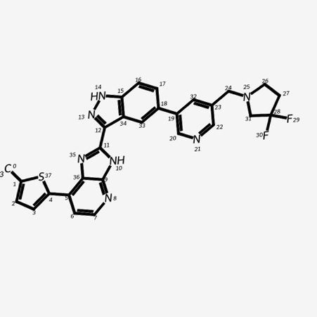 Cc1ccc(-c2ccnc3[nH]c(-c4n[nH]c5ccc(-c6cncc(CN7CCC(F)(F)C7)c6)cc45)nc23)s1